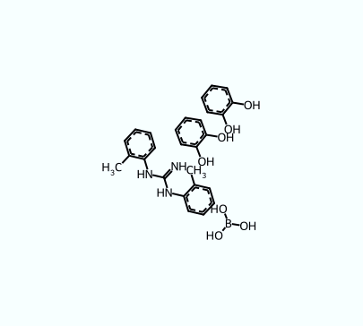 Cc1ccccc1NC(=N)Nc1ccccc1C.OB(O)O.Oc1ccccc1O.Oc1ccccc1O